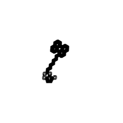 O=C(CCCCCCCc1ccc2cccc3c4cccc5cccc(c1c23)c54)ON1C(=O)CCC1=O